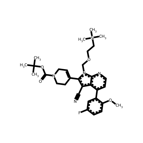 COc1ccc(F)cc1-c1ccnc2c1c(C#N)c(C1=CCN(C(=O)OC(C)(C)C)CC1)n2COCC[Si](C)(C)C